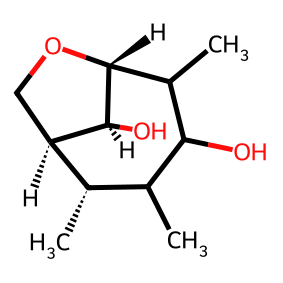 CC1C(O)C(C)[C@H](C)[C@H]2CO[C@H]1[C@H]2O